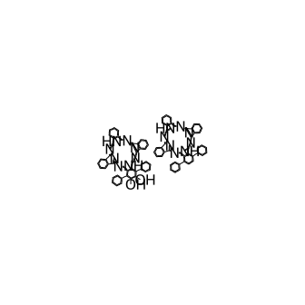 Oc1c(O)c(-c2ccccc2)c2c3nc4nc(nc5[nH]c(nc6nc(nc([nH]3)c2c1-c1ccccc1)-c1ccccc1-6)c1ccccc51)-c1ccccc1-4.c1ccc(-c2ccc(-c3ccccc3)c3c4nc5nc(nc6[nH]c(nc7nc(nc([nH]4)c23)-c2ccccc2-7)c2ccccc62)-c2ccccc2-5)cc1